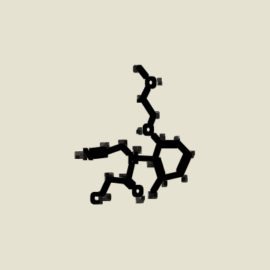 COCCOc1cccc(C)c1N(CC#N)C(=O)CCl